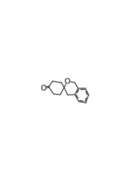 O=C1CCC2(CC1)Cc1ccccc1CO2